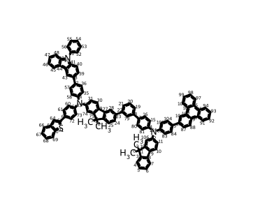 CC1(C)c2ccccc2-c2ccc(N(c3ccc(-c4cccc(-c5ccc6c(c5)-c5ccc(N(c7ccc(-c8ccc9c(c8)c8ccccc8n9-c8ccccc8)cc7)c7ccc(-c8cc9ccccc9s8)cc7)cc5C6(C)C)c4)cc3)c3ccc(-c4ccc5c6ccccc6c6ccccc6c5c4)cc3)cc21